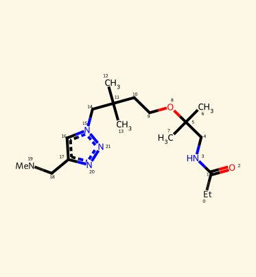 CCC(=O)NCC(C)(C)OCCC(C)(C)Cn1cc(CNC)nn1